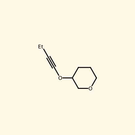 CCC#COC1CCCOC1